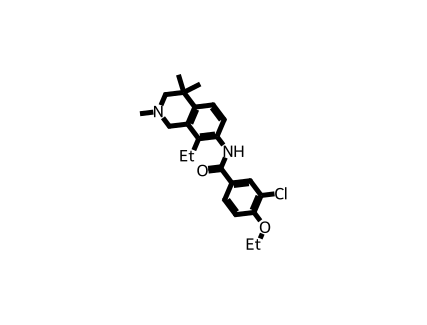 CCOc1ccc(C(=O)Nc2ccc3c(c2CC)CN(C)CC3(C)C)cc1Cl